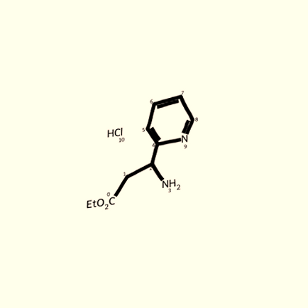 CCOC(=O)CC(N)c1ccccn1.Cl